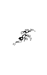 CCOc1ccc(CN(C(N)=N[N+](=O)[O-])[C@H](CCCN)C(N)=O)cc1